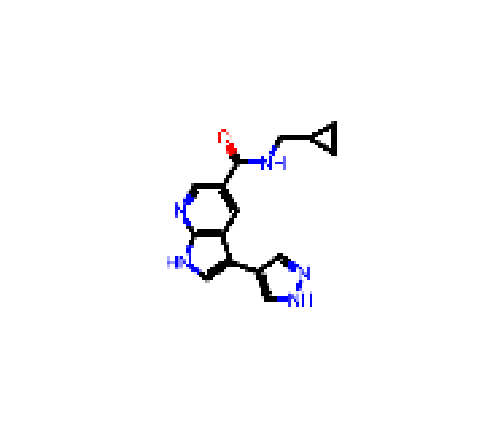 O=C(NCC1CC1)c1cnc2[nH]cc(-c3cn[nH]c3)c2c1